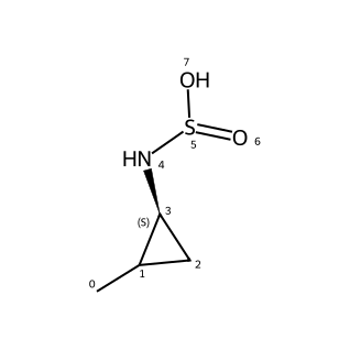 CC1C[C@@H]1NS(=O)O